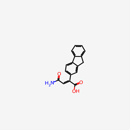 NC(=O)/C=C(/C(=O)O)c1ccc2c(c1)Cc1ccccc1-2